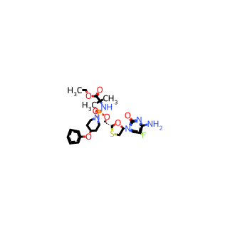 CCOC(=O)C(C)(C)NP(=O)(OC[C@@H]1O[C@H](n2cc(F)c(N)nc2=O)CS1)N1CCC(Oc2ccccc2)CC1